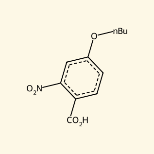 CCCCOc1ccc(C(=O)O)c([N+](=O)[O-])c1